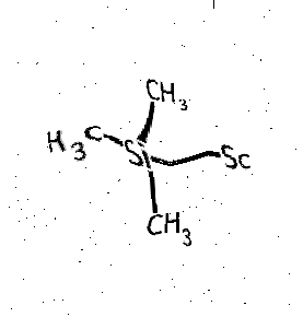 C[Si](C)(C)[Sc]